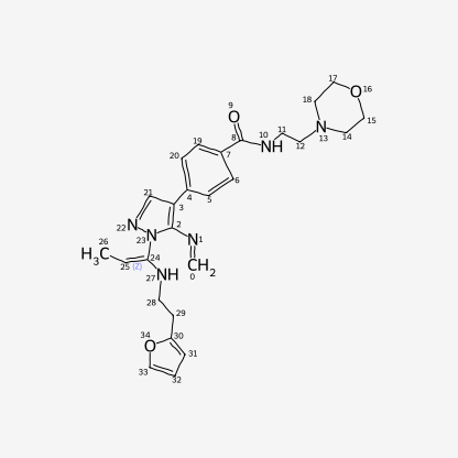 C=Nc1c(-c2ccc(C(=O)NCCN3CCOCC3)cc2)cnn1/C(=C\C)NCCc1ccco1